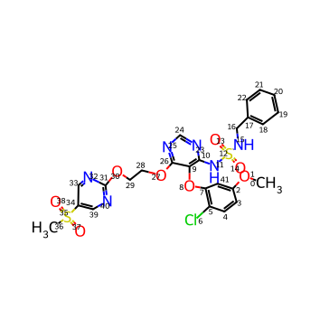 COc1ccc(Cl)c(Oc2c(NS(=O)(=O)NCc3ccccc3)ncnc2OCCOc2ncc(S(C)(=O)=O)cn2)c1